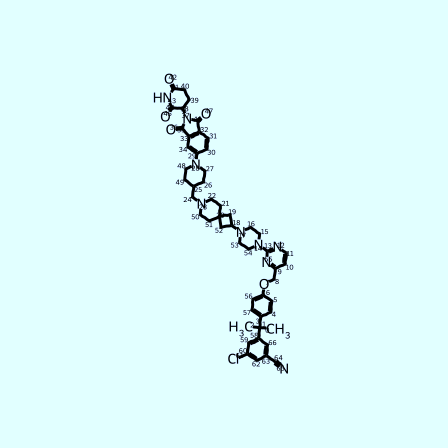 CC(C)(c1ccc(OCc2ccnc(N3CCN(C4CC5(CCN(CC6CCN(c7ccc8c(c7)C(=O)N(C7CCC(=O)NC7=O)C8=O)CC6)CC5)C4)CC3)n2)cc1)c1cc(Cl)cc(C#N)c1